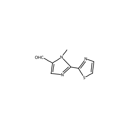 Cn1c(C=O)cnc1-c1nccs1